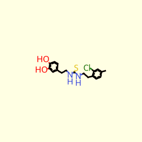 Cc1ccc(CCNC(=S)NCCc2ccc(O)c(O)c2)c(Cl)c1